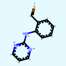 S=[C]c1ccccc1Nc1ncccn1